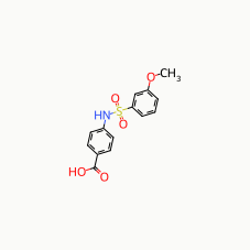 COc1cccc(S(=O)(=O)Nc2ccc(C(=O)O)cc2)c1